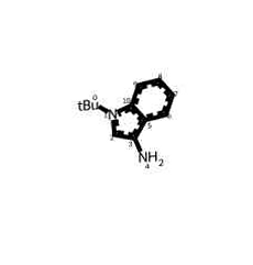 CC(C)(C)n1cc(N)c2ccccc21